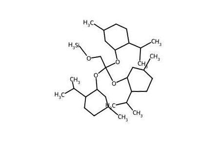 CC1CCC(C(C)C)C(OC(CO[SiH3])(OC2CC(C)CCC2C(C)C)OC2CC(C)CCC2C(C)C)C1